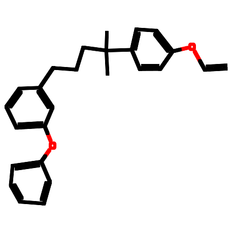 C=COc1ccc(C(C)(C)CCCc2cccc(Oc3ccccc3)c2)cc1